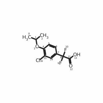 CC(C)Oc1ccc(C(F)(F)C(=O)O)cc1Cl